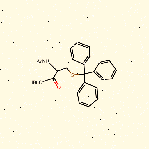 CC(=O)NC(CSC(c1ccccc1)(c1ccccc1)c1ccccc1)C(=O)OCC(C)C